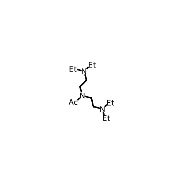 CCN(CC)CCN(CCN(CC)CC)C(C)=O